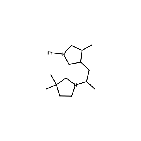 CC1CN(C(C)C)CC1CC(C)N1CCC(C)(C)C1